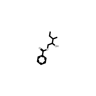 CCC(C)C(O)COC(=O)c1ccccc1